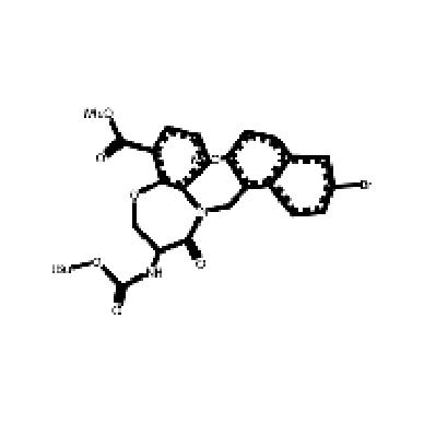 COC(=O)c1cccc2c1OCC(NC(=O)OC(C)(C)C)C(=O)N2Cc1c(OC)ccc2cc(Br)ccc12